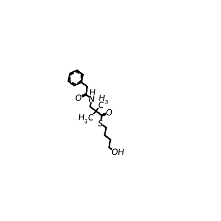 CC(C)(CNC(=O)Cc1ccccc1)C(=O)SCCCCO